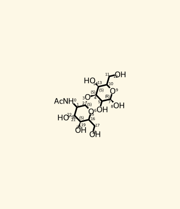 CC(=O)NC1[C@H](O[C@@H]2C(O)[C@H](O)OC(CO)[C@@H]2O)OC(CO)[C@@H](O)[C@@H]1O